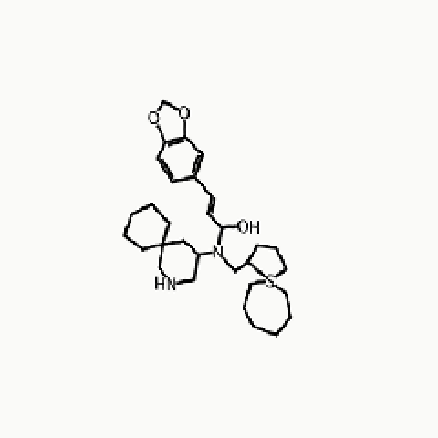 OC(/C=C/c1ccc2c(c1)OCO2)N(CC1CCCS12CCCCCC2)C1CNCC2(CCCCC2)C1